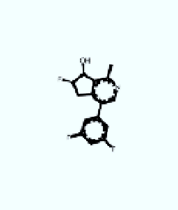 Cc1ncc(-c2cc(F)cc(F)c2)c2c1[C@H](O)[C@H](F)C2